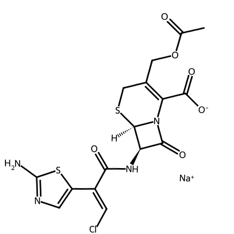 CC(=O)OCC1=C(C(=O)[O-])N2C(=O)[C@@H](NC(=O)C(=CCl)c3cnc(N)s3)[C@H]2SC1.[Na+]